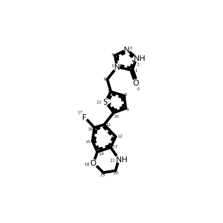 O=c1[nH]ncn1Cc1ccc(-c2cc3c(cc2F)OCCN3)s1